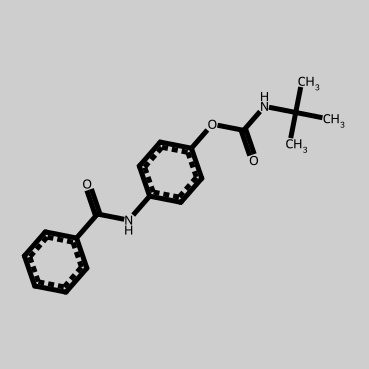 CC(C)(C)NC(=O)Oc1ccc(NC(=O)c2ccccc2)cc1